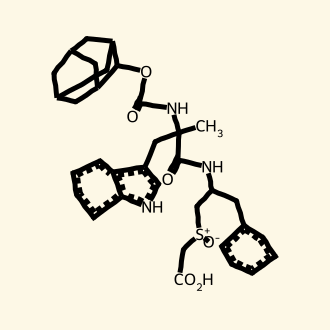 CC(Cc1c[nH]c2ccccc12)(NC(=O)OC1C2CC3CC(C2)CC1C3)C(=O)NC(Cc1ccccc1)C[S+]([O-])CC(=O)O